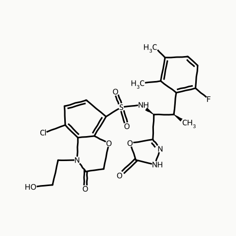 Cc1ccc(F)c([C@@H](C)[C@H](NS(=O)(=O)c2ccc(Cl)c3c2OCC(=O)N3CCO)c2n[nH]c(=O)o2)c1C